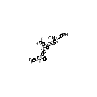 CCOc1nc2[nH]cc(F)c2cc1Oc1cc(N2CCC3(CC2)CC(N2CCN(Cc4ccc(F)c(F)c4)C[C@H]2c2ccccc2C(C)C)C3)ccc1C(=O)NS(=O)(=O)c1cnc(NCC2CCC(C)(O)CC2)c([N+](=O)[O-])c1